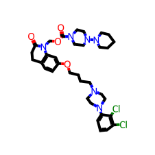 O=C(OCN1C(=O)CCc2ccc(OCCCCN3CCN(c4cccc(Cl)c4Cl)CC3)cc21)N1CCN(N2CCCCC2)CC1